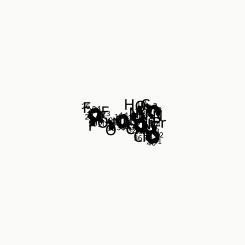 Cc1ccnc(C(C)C)c1-n1c(=O)nc(N2CCN(C(=O)COc3c(F)cc(F)cc3F)C[C@@H]2C)c2cc(Cl)c(-c3ccccc3F)nc21